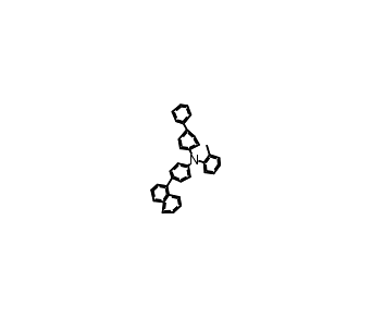 Cc1ccccc1N(c1ccc(-c2ccccc2)cc1)c1ccc(-c2cccc3ccccc23)cc1